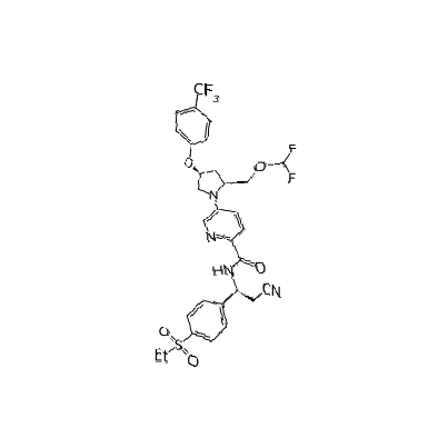 CCS(=O)(=O)c1ccc([C@H](CC#N)NC(=O)c2ccc(N3C[C@@H](Oc4ccc(C(F)(F)F)cc4)C[C@H]3COC(F)F)cn2)cc1